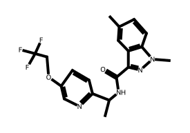 Cc1ccc2c(c1)c(C(=O)NC(C)c1ccc(OCC(F)(F)F)cn1)nn2C